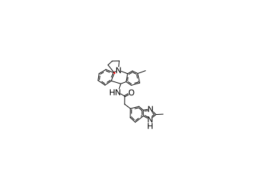 Cc1ccc(C(NC(=O)Cc2ccc3[nH]c(C)nc3c2)c2ccccc2)c(N2CCCC2)c1